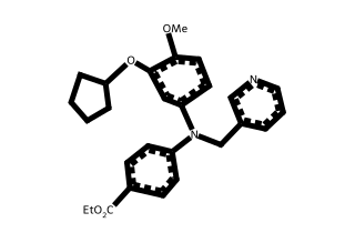 CCOC(=O)c1ccc(N(Cc2cccnc2)c2ccc(OC)c(OC3CCCC3)c2)cc1